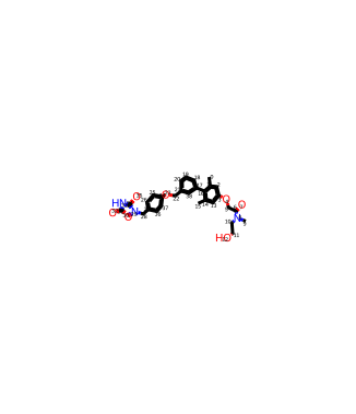 Cc1cc(OCC(=O)N(C)CCO)cc(C)c1-c1cccc(COc2ccc(Cn3oc(=O)[nH]c3=O)cc2)c1